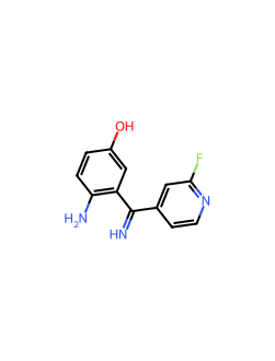 N=C(c1ccnc(F)c1)c1cc(O)ccc1N